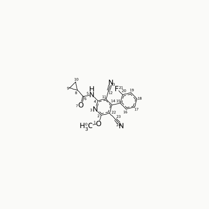 COc1nc(NC(=O)C2CC2)c(C#N)c(-c2ccccc2F)c1C#N